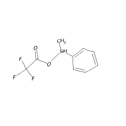 C[SiH](OC(=O)C(F)(F)F)c1ccccc1